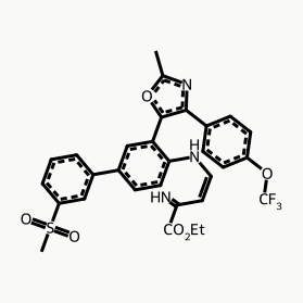 CCOC(=O)C(=N)/C=C\Nc1ccc(-c2cccc(S(C)(=O)=O)c2)cc1-c1oc(C)nc1-c1ccc(OC(F)(F)F)cc1